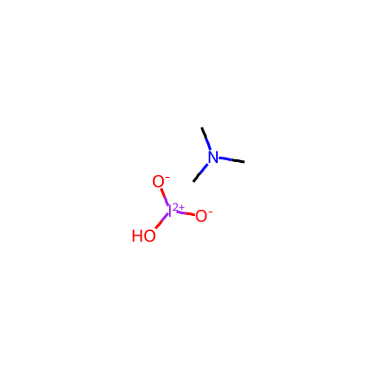 CN(C)C.[O-][I+2]([O-])O